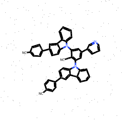 N#Cc1ccc(-c2ccc3c(c2)c2ccccc2n3-c2cc(-c3cccnc3)cc(-n3c4ccccc4c4cc(-c5ccc(C#N)cc5)ccc43)c2C#N)cc1